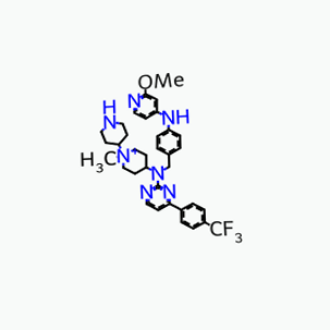 COc1cc(Nc2ccc(CN(c3nccc(-c4ccc(C(F)(F)F)cc4)n3)C3CC[N+](C)(C4CCNCC4)CC3)cc2)ccn1